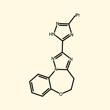 CC(C)c1n[nH]c(-c2nc3n(n2)-c2ccccc2OCC3)n1